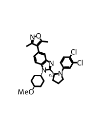 CO[C@H]1CC[C@H](n2c([C@@H]3CCCN3c3ccc(Cl)c(Cl)c3)nc3cc(-c4c(C)noc4C)ccc32)CC1